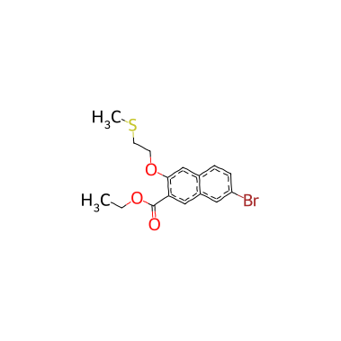 CCOC(=O)c1cc2cc(Br)ccc2cc1OCCSC